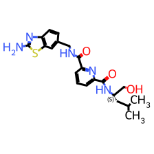 CC(C)C[C@@H](CO)NC(=O)c1cccc(C(=O)NCc2ccc3nc(N)sc3c2)n1